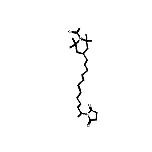 CC(=O)N1C(C)(C)CC(CCCCCCCCCCC(C)N2C(=O)CCC2=O)CC1(C)C